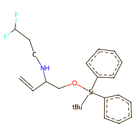 C=CC(CO[Si](c1ccccc1)(c1ccccc1)C(C)(C)C)NCCC(F)F